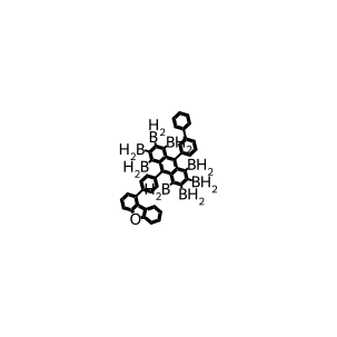 Bc1c(B)c(B)c2c(-c3cccc(-c4ccccc4)c3)c3c(B)c(B)c(B)c(B)c3c(-c3ccc(-c4cccc5oc6ccccc6c45)cc3)c2c1B